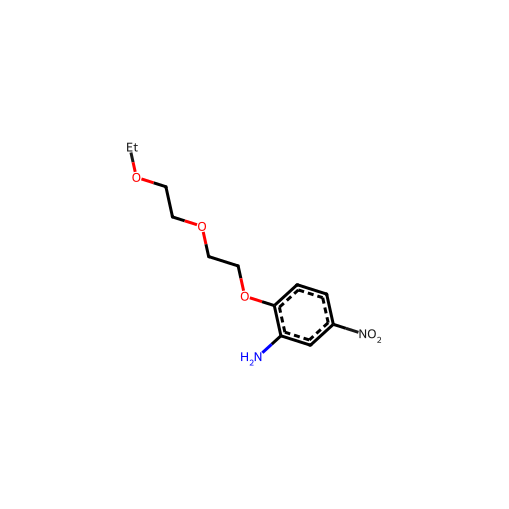 CCOCCOCCOc1ccc([N+](=O)[O-])cc1N